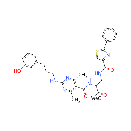 COC(=O)C(CNC(=O)c1csc(-c2ccccc2)n1)NC(=O)c1c(C)nc(NCCCc2cccc(O)c2)nc1C